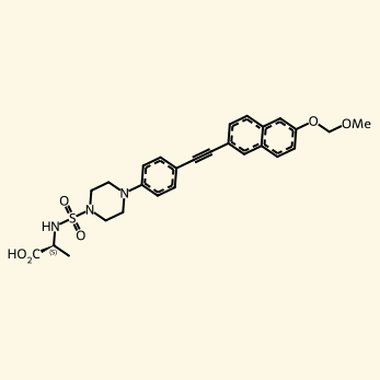 COCOc1ccc2cc(C#Cc3ccc(N4CCN(S(=O)(=O)N[C@@H](C)C(=O)O)CC4)cc3)ccc2c1